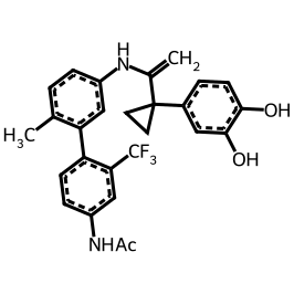 C=C(Nc1ccc(C)c(-c2ccc(NC(C)=O)cc2C(F)(F)F)c1)C1(c2ccc(O)c(O)c2)CC1